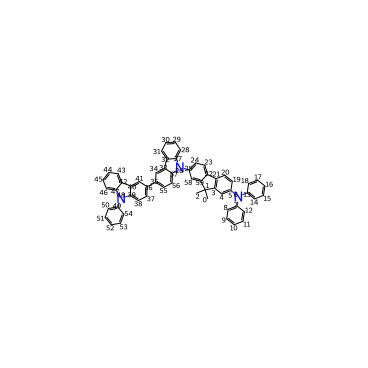 CC1(C)c2cc(N(c3ccccc3)c3ccccc3)ccc2-c2ccc(-n3c4ccccc4c4cc(-c5ccc6c(c5)c5ccccc5n6-c5ccccc5)ccc43)cc21